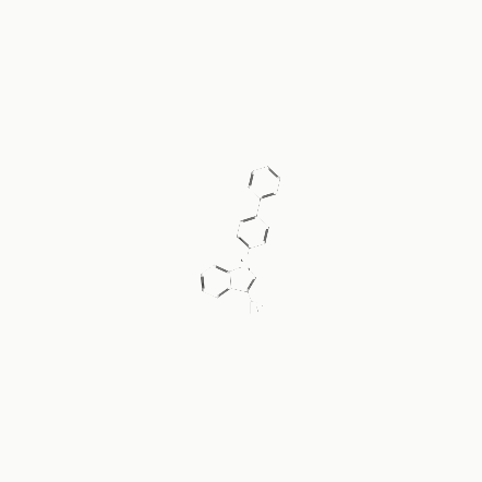 Brc1cn(-c2ccc(-c3ccccc3)cc2)c2ccccc12